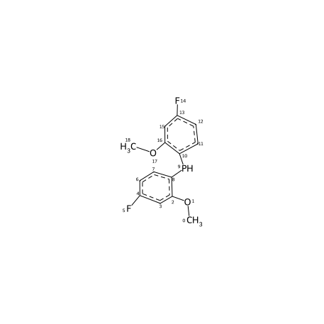 COc1cc(F)ccc1Pc1ccc(F)cc1OC